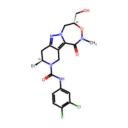 CC[C@H]1Cc2nn3c(c2CN1C(=O)Nc1ccc(F)c(Cl)c1)C(=O)N(C)O[C@@H](CO)C3